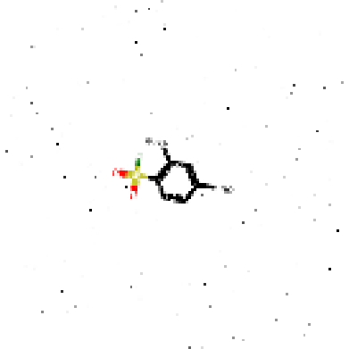 COc1cc(C=O)ccc1S(=O)(=O)Cl